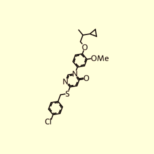 COc1cc(-n2cnc(SCc3ccc(Cl)cc3)cc2=O)ccc1OCC(C)C1CC1